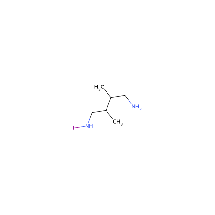 CC(CN)C(C)CNI